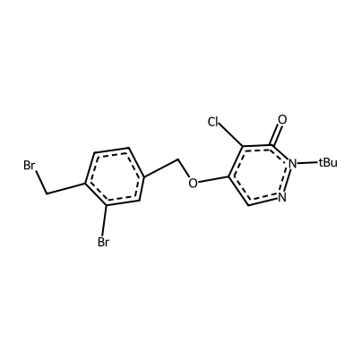 CC(C)(C)n1ncc(OCc2ccc(CBr)c(Br)c2)c(Cl)c1=O